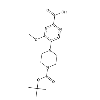 COc1cc(C(=O)O)ncc1N1CCN(C(=O)OC(C)(C)C)CC1